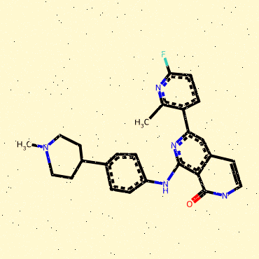 Cc1nc(F)ccc1-c1cc2c(c(Nc3ccc(C4CCN(C)CC4)cc3)n1)C(=O)[N]C=C2